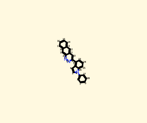 c1ccc(-n2ccc3c(-c4cc5cc6ccccc6cc5nn4)cccc32)cc1